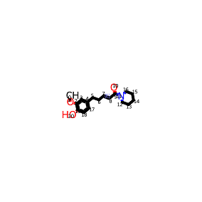 COc1cc(CC/C=C/C(=O)N2CCCCC2)ccc1O